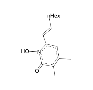 CCCCCCC=Cc1cc(C)c(C)c(=O)n1O